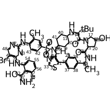 Cc1cc(S(=O)(=O)NC2CCC(N[C@H](C(=O)N3C[C@H](O)CC3C(=O)N[C@@H](C)c3ccc(-c4scnc4C)cc3)C(C)(C)C)CC2)ccc1Nc1ncc(Br)c(Nc2cccc(F)c2C(N)O)n1